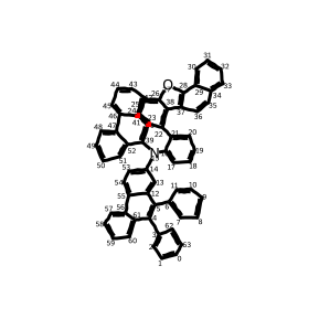 c1ccc(-c2c(-c3ccccc3)c3cc(N(c4ccccc4-c4cccc5oc6c7ccccc7ccc6c45)c4cc5ccccc5c5ccccc45)ccc3c3ccccc23)cc1